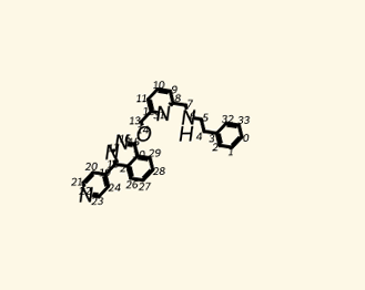 c1ccc(CCNCc2cccc(COc3nnc(-c4ccncc4)c4ccccc34)n2)cc1